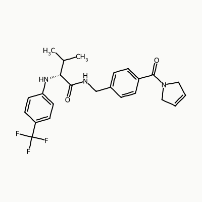 CC(C)[C@@H](Nc1ccc(C(F)(F)F)cc1)C(=O)NCc1ccc(C(=O)N2CC=CC2)cc1